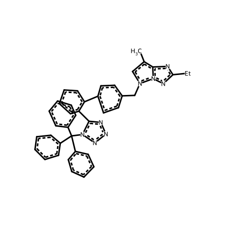 CCc1nc2c(C)cn(Cc3ccc(-c4ccccc4-c4nnnn4C(c4ccccc4)(c4ccccc4)c4ccccc4)cc3)n2n1